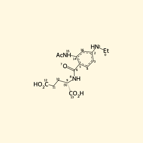 CCNc1ccc(C(=O)N[C@@H](CCC(=O)O)C(=O)O)c(NC(C)=O)c1